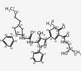 COCCN1C[C@@H](NC(=O)Nc2c(C)c(-c3cc(C(=O)NC[C@@H](C)O)c(=O)n(C)c3)nn2-c2ccccc2)[C@H](c2ccccc2)C1